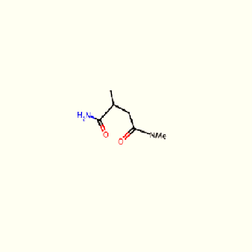 CNC(=O)CC(C)C(N)=O